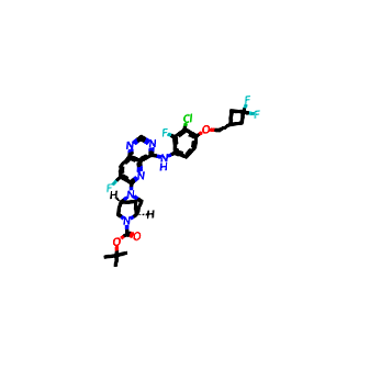 CC(C)(C)OC(=O)N1C[C@@H]2C[C@H]1CN2c1nc2c(Nc3ccc(OCC4CC(F)(F)C4)c(Cl)c3F)ncnc2cc1F